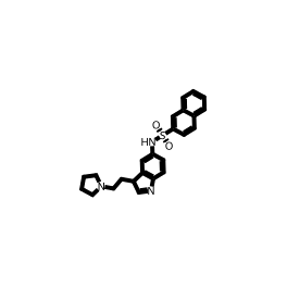 O=S(=O)(Nc1ccc2c(c1)C(CCN1CCCC1)C=N2)c1ccc2ccccc2c1